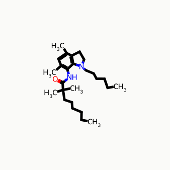 CCCCCCN1CCc2c(C)cc(C)c(NC(=O)C(C)(C)CCCCCC)c21